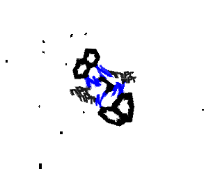 CCCN1c2cccc3cccc(c23)N(CCC)C1C1N(CCC)c2cccc3cccc(c23)N1CCC